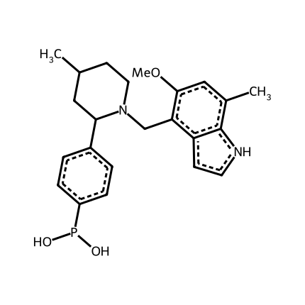 COc1cc(C)c2[nH]ccc2c1CN1CCC(C)CC1c1ccc(P(O)O)cc1